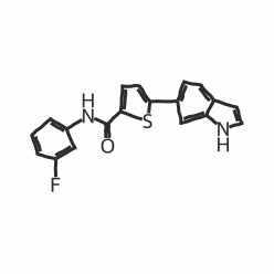 O=C(Nc1cccc(F)c1)c1ccc(-c2ccc3cc[nH]c3c2)s1